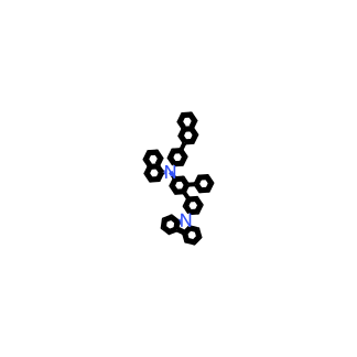 c1ccc(-c2cc(N(c3ccc(-c4ccc5ccccc5c4)cc3)c3cccc4ccccc34)ccc2-c2cccc(-n3c4ccccc4c4ccccc43)c2)cc1